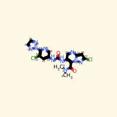 CN(C)C(=O)c1c(NC(=O)Nc2cnc(-n3nccn3)c(Cl)c2)cnc2cc(Cl)nn12